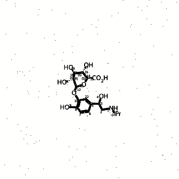 CC(C)NCC(O)c1ccc(O)c(OC2O[C@H](C(=O)O)[C@@H](O)[C@H](O)[C@H]2O)c1